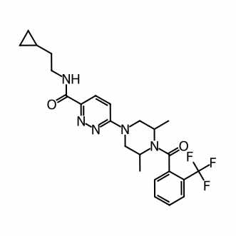 CC1CN(c2ccc(C(=O)NCCC3CC3)nn2)CC(C)N1C(=O)c1ccccc1C(F)(F)F